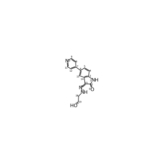 O=C1Nc2ccc(-c3ccncc3)cc2C1=NNCCO